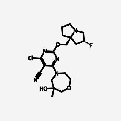 C[C@]1(O)COCCN(c2nc(OC[C@@]34CCCN3C[C@H](F)C4)nc(Cl)c2C#N)C1